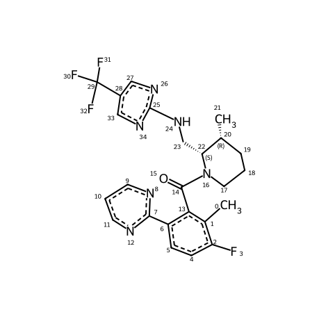 Cc1c(F)ccc(-c2ncccn2)c1C(=O)N1CCC[C@@H](C)[C@H]1CNc1ncc(C(F)(F)F)cn1